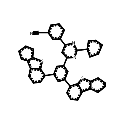 N#Cc1cccc(-c2cc(-c3cc(-c4cccc5c4sc4ccccc45)cc(-c4cccc5c4sc4ccccc45)c3)nc(-c3ccccc3)n2)c1